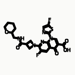 O=C(O)c1cn(-c2ncc(F)s2)c2nc(N3CC(C(=O)NCC4CCCCO4)C3)c(F)cc2c1=O